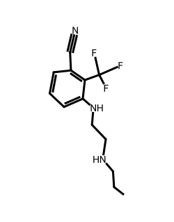 CCCNCCNc1cccc(C#N)c1C(F)(F)F